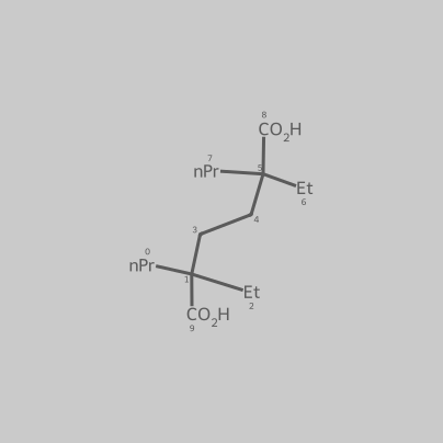 CCCC(CC)(CCC(CC)(CCC)C(=O)O)C(=O)O